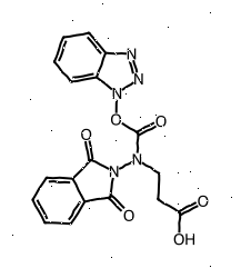 O=C(O)CCN(C(=O)On1nnc2ccccc21)N1C(=O)c2ccccc2C1=O